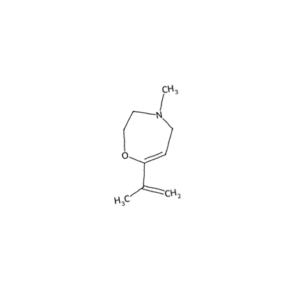 C=C(C)C1=CCN(C)CCO1